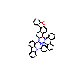 C=N/C(=N\C(=N/Cc1ccc2oc3ccccc3c2c1)c1cccc2c3ccccc3n(-c3ccccc3)c12)c1ccccc1-c1ccccc1Cc1ccccc1